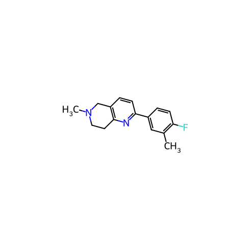 Cc1cc(-c2ccc3c(n2)CCN(C)C3)ccc1F